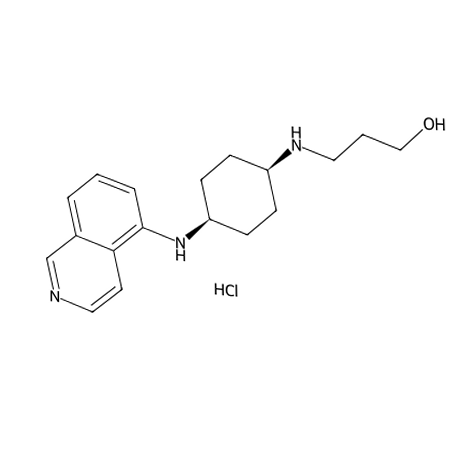 Cl.OCCCN[C@H]1CC[C@@H](Nc2cccc3cnccc23)CC1